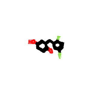 O=C1CCC(O)=CC1Cc1cc(F)ccc1F